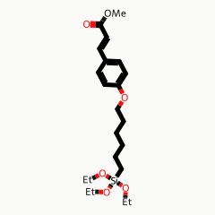 CCO[Si](CCCCCCOc1ccc(C=CC(=O)OC)cc1)(OCC)OCC